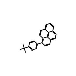 CC(C)(C)c1ccc(-c2ccc3ccc4cccc5ccc2c3c45)cn1